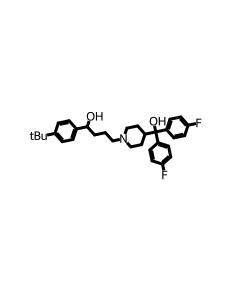 CC(C)(C)c1ccc(C(O)CCCN2CCC(C(O)(c3ccc(F)cc3)c3ccc(F)cc3)CC2)cc1